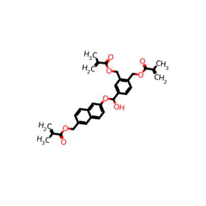 C=C(C)C(=O)OCc1ccc2cc(OC(O)c3ccc(COC(=O)C(=C)C)c(COC(=O)C(=C)C)c3)ccc2c1